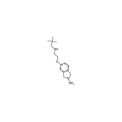 CC(C)(C)CNCCOc1ccc2c(c1)CN(N)C2